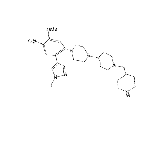 COc1cc(N2CCN(C3CCN(CC4CCNCC4)CC3)CC2)c(-c2cnn(C)c2)cc1[N+](=O)[O-]